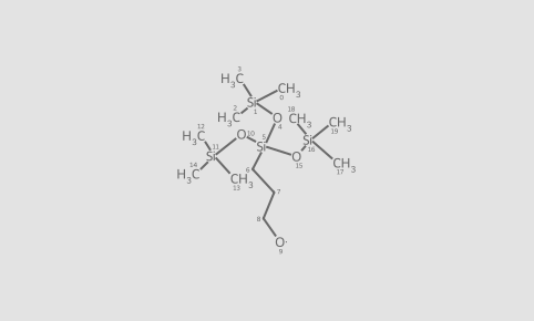 C[Si](C)(C)O[Si](CCC[O])(O[Si](C)(C)C)O[Si](C)(C)C